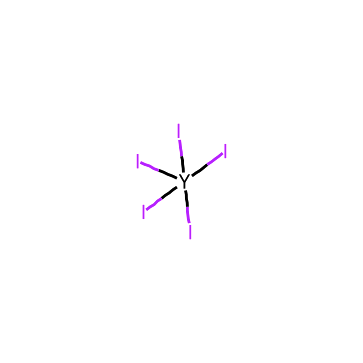 [I][Y]([I])([I])([I])[I]